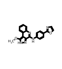 COc1[nH]nc2c(Nc3ccc(-c4ncco4)cc3)nc3ccccc3c12